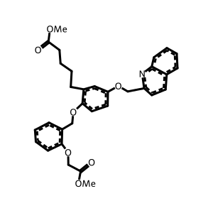 COC(=O)CCCCc1cc(OCc2ccc3ccccc3n2)ccc1OCc1ccccc1OCC(=O)OC